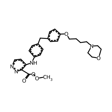 COOC(=O)c1nnccc1Nc1ccc(Cc2ccc(OCCCCN3CCOCC3)cc2)cc1